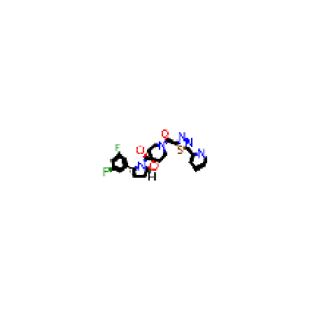 O=C(c1nnc(-c2ccccn2)s1)N1CCC2(CC1)O[C@@H]1CC[C@@H](c3cc(F)cc(F)c3)N1C2=O